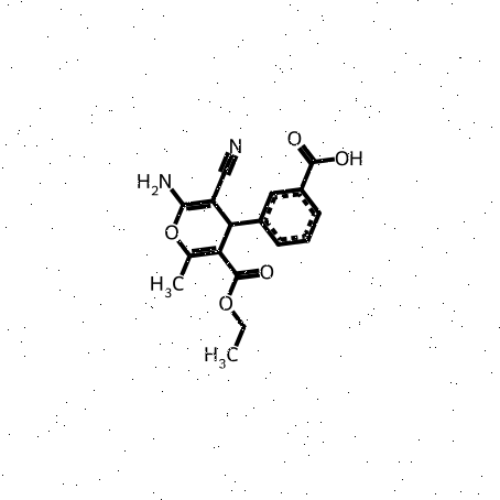 CCOC(=O)C1=C(C)OC(N)=C(C#N)C1c1cccc(C(=O)O)c1